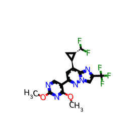 COc1ncc(-c2cc([C@H]3C[C@@H]3C(F)F)c3nc(C(F)(F)F)cn3n2)c(OC)n1